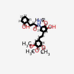 COc1cc(/C=C/c2cc(O)c(OC)c(NC(=O)/C=C/c3ccccc3O)c2)cc(OC)c1OC